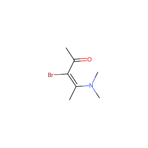 CC(=O)/C(Br)=C(/C)N(C)C